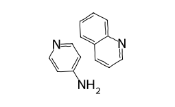 Nc1ccncc1.c1ccc2ncccc2c1